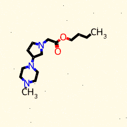 CCCCOC(=O)CN1CCC(N2CCN(C)CC2)C1